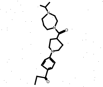 CCC(=O)c1ccc(N2CCC(C(=O)N3CCCN(C(C)C)CC3)CC2)cc1